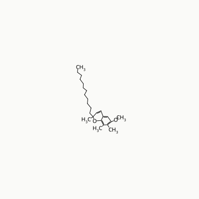 CCCCCCCCCCCCC1(C)C=Cc2cc(OC)c(C)c(C)c2O1